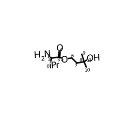 CC(C)C(N)C(=O)OCCC(C)(C)O